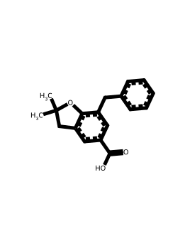 CC1(C)Cc2cc(C(=O)O)cc(Cc3ccccc3)c2O1